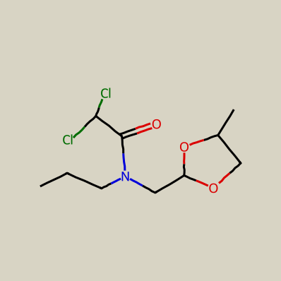 CCCN(CC1OCC(C)O1)C(=O)C(Cl)Cl